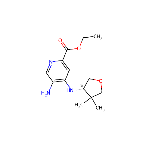 CCOC(=O)c1cc(N[C@@H]2COCC2(C)C)c(N)cn1